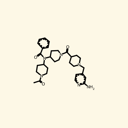 CC(=O)N1CCC(N(C(=O)c2ccccc2)C2CCN(C(=O)C3CCN(Cc4ccnc(N)c4)CC3)CC2)CC1